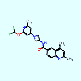 Cc1cc(N2CC(NC(=O)c3ccc4nc(C)cc(C)c4c3)C2)cc(OC(F)F)n1